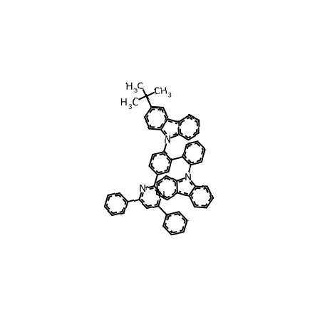 CC(C)(C)c1ccc2c(c1)c1ccccc1n2-c1ccc(-c2nc(-c3ccccc3)cc(-c3ccccc3)n2)cc1-c1ccccc1-n1c2ccccc2c2ccccc21